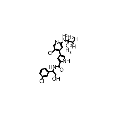 [2H]C([2H])C([2H])(C)Nc1cc(-c2c[nH]c(C(=O)NC(CO)c3cccc(Cl)c3)c2)c(Cl)cn1